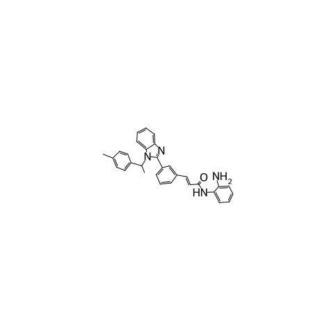 Cc1ccc(C(C)n2c(-c3cccc(C=CC(=O)Nc4ccccc4N)c3)nc3ccccc32)cc1